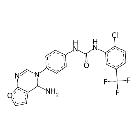 NC1c2ccoc2N=CN1c1ccc(NC(=O)Nc2cc(C(F)(F)F)ccc2Cl)cc1